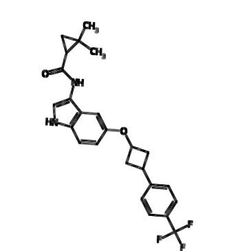 CC1(C)CC1C(=O)Nc1c[nH]c2ccc(OC3CC(c4ccc(C(F)(F)F)cc4)C3)cc12